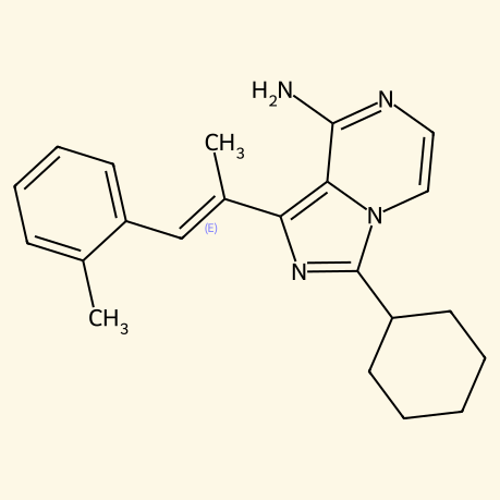 C/C(=C\c1ccccc1C)c1nc(C2CCCCC2)n2ccnc(N)c12